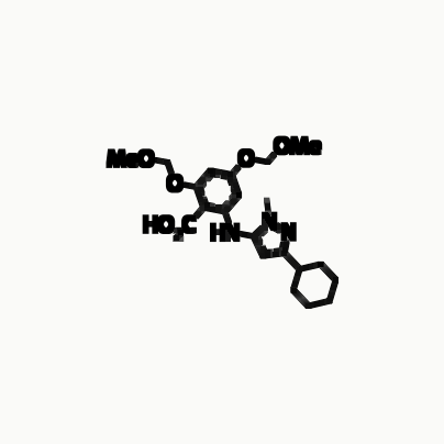 COCOc1cc(Nc2cc(C3CCCCC3)nn2C)c(C(=O)O)c(OCOC)c1